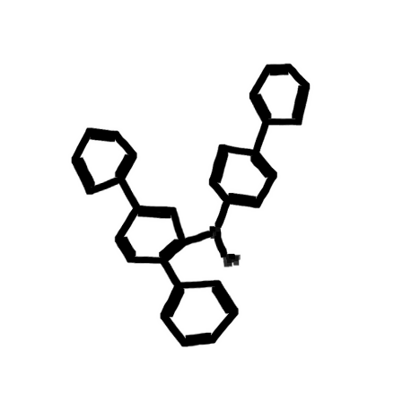 CC(C)N(c1ccc(-c2ccccc2)cc1)c1cc(-c2ccccc2)ccc1-c1ccccc1